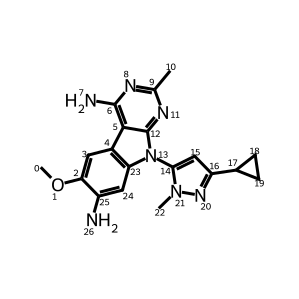 COc1cc2c3c(N)nc(C)nc3n(-c3cc(C4CC4)nn3C)c2cc1N